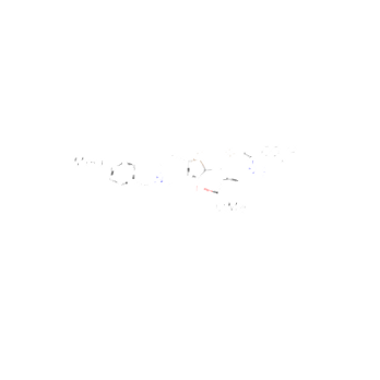 COC(=O)C1=CNC(C(=O)O)=CSC1c1cc2c(s1)CCN(Cc1ccc(OC)cc1)C2